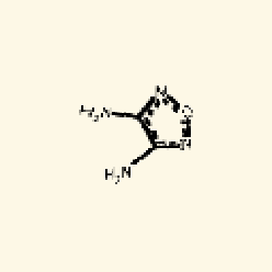 Nc1nonc1N